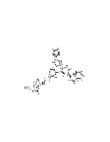 CC(C)(C)OC(=O)NCCc1ccc(-n2cc(-c3nccs3)nc2-c2ccc(-n3ccc4cccnc43)cc2)cc1